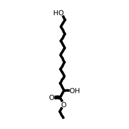 CCOC(=O)C(O)CCCCCCCCCCO